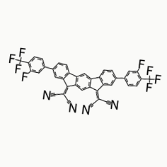 N#CC(C#N)=C1c2cc(-c3ccc(C(F)(F)F)c(F)c3)ccc2-c2cc3c(cc21)C(=C(C#N)C#N)c1cc(-c2ccc(C(F)(F)F)c(F)c2)ccc1-3